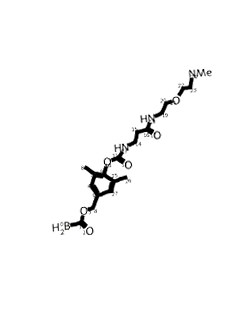 BC(=O)OCc1cc(C)c(OC(=O)NCCC(=O)NCCOCCNC)c(C)c1